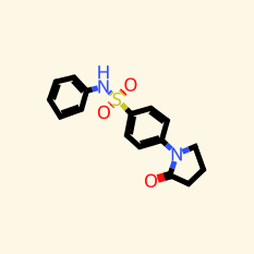 O=C1CCCN1c1ccc(S(=O)(=O)Nc2ccccc2)cc1